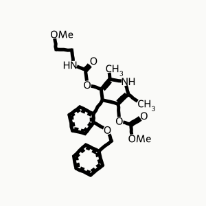 COCCNC(=O)OC1=C(C)NC(C)=C(OC(=O)OC)C1c1ccccc1OCc1ccccc1